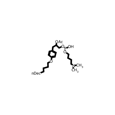 CCCCCCCCCCCCCCOc1ccc(CC(COP(O)OCCCCN(C)C)OC(C)=O)cc1